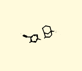 N#Cc1ccc(OC2CCC3(N)CCCC2C3)cc1Cl